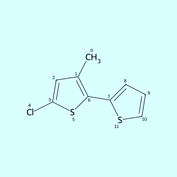 Cc1cc(Cl)sc1-c1cccs1